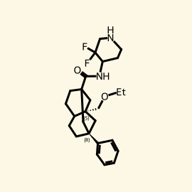 CCOC[C@@]12CC3(C(=O)NC4CCNCC4(F)F)CCC1CC[C@](c1ccccc1)(C3)C2